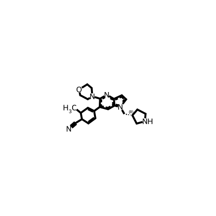 CC1C=C(c2cc3c(ccn3C[C@@H]3CCNC3)nc2N2CCOCC2)C=CC1C#N